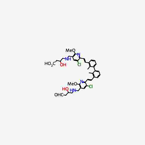 COc1nc(/C=C/c2cccc(-c3cccc(/C=C/c4nc(OC)c(CNCC(O)CC(=O)O)cc4Cl)c3C)c2C)c(Cl)cc1CNCC(O)CC=O